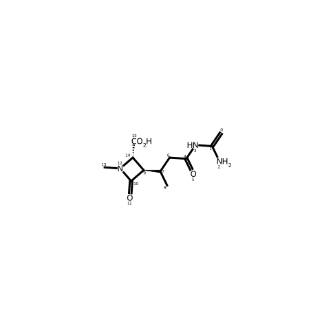 C=C(N)NC(=O)CC(C)[C@H]1C(=O)N(C)[C@@H]1C(=O)O